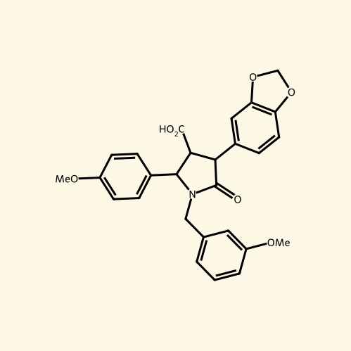 COc1ccc(C2C(C(=O)O)C(c3ccc4c(c3)OCO4)C(=O)N2Cc2cccc(OC)c2)cc1